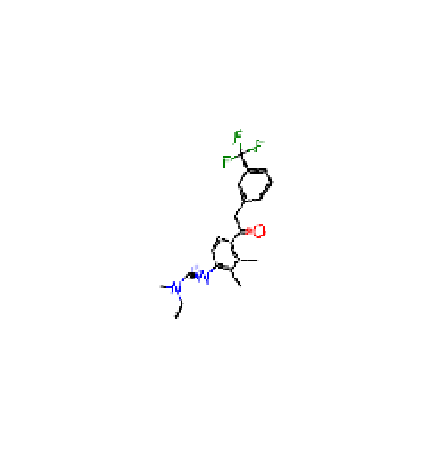 CCN(C)/C=N/c1ccc(C(=O)Cc2cccc(C(F)(F)F)c2)c(C)c1C